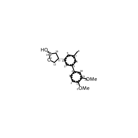 COc1ccc(-c2cc(C)cc([C@@H]3COB(O)C3)c2)cc1OC